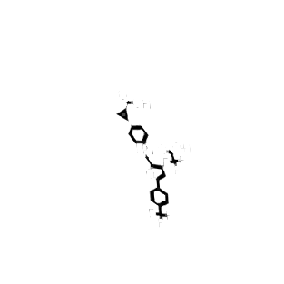 O=C(O)C(F)(F)F.O=C(O)[C@@H]1C[C@H]1c1ccc(NCc2ccc(-c3ccc(C(F)(F)F)cc3)o2)cc1